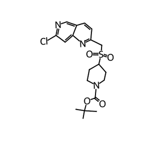 CC(C)(C)OC(=O)N1CCC(S(=O)(=O)Cc2ccc3cnc(Cl)cc3n2)CC1